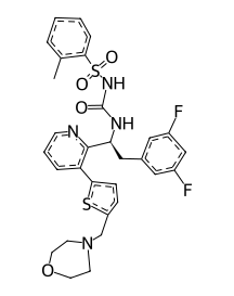 Cc1ccccc1S(=O)(=O)NC(=O)N[C@@H](Cc1cc(F)cc(F)c1)c1ncccc1-c1ccc(CN2CCOCC2)s1